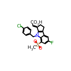 CS(=O)(=O)c1cc(F)cc2c3c(n(Cc4ccc(Cl)cc4)c12)/C(=C/C(=O)O)CC3